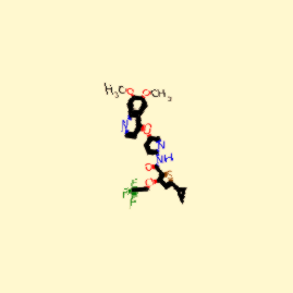 COc1cc2nccc(Oc3ccc(NC(=O)c4sc(C5CC5)cc4OCC(F)(F)F)nc3)c2cc1OC